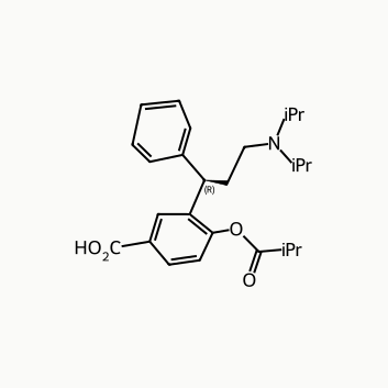 CC(C)C(=O)Oc1ccc(C(=O)O)cc1[C@H](CCN(C(C)C)C(C)C)c1ccccc1